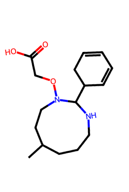 CC1CCCNC(C2C=CC=CC2)N(OCC(=O)O)CC1